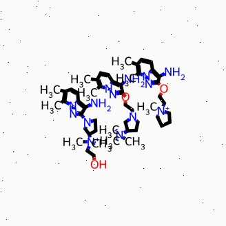 Cc1ccc2c(N)c(N3CCC([N+](C)(C)CCO)C3)nn2c1C.Cc1ccc2c(N)c(OCCN3CCC([N+](C)(C)C)C3)nn2c1C.Cc1ccc2c(N)c(OCC[N+]3(C)CCCC3)nn2c1C